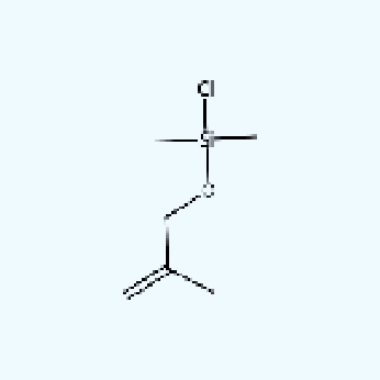 C=C(C)CO[Si](C)(C)Cl